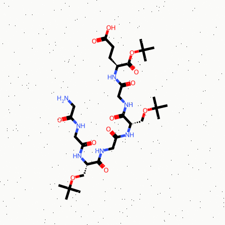 CC(C)(C)OC[C@H](NC(=O)CNC(=O)CN)C(=O)NCC(=O)N[C@@H](COC(C)(C)C)C(=O)NCC(=O)N[C@@H](CCC(=O)O)C(=O)OC(C)(C)C